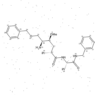 CO[C@@H](C[C@H](C(=O)N[C@H](C(=O)NCc1ccccc1)C(C)C)C(C)C)[C@@H](N)COCc1ccccc1